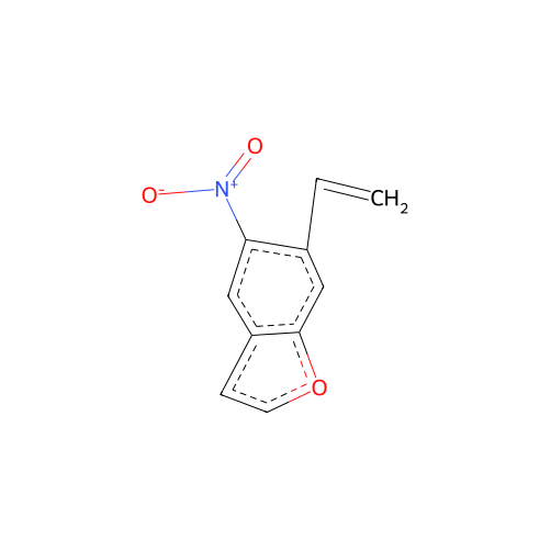 C=Cc1cc2occc2cc1[N+](=O)[O-]